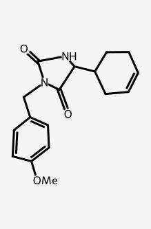 COc1ccc(CN2C(=O)NC(C3CC=CCC3)C2=O)cc1